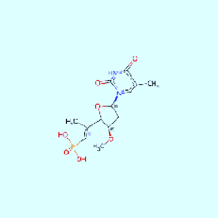 CO[C@@H]1C[C@H](n2cc(C)c(=O)[nH]c2=O)OC1/C(C)=C/P(=O)(O)O